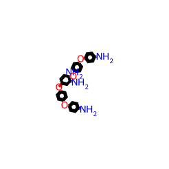 Nc1ccc(Oc2ccc(OC3=CC(N)C(N)(Oc4ccc(Oc5ccc(N)cc5)cc4)C=C3)cc2)cc1